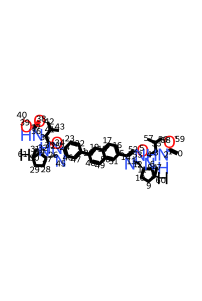 C=C(N[C@H](C(=O)N1C[C@@H]2CC[C@@]1(c1nc(-c3ccc4cc(-c5ccc6[nH]c([C@@]78CC[C@@H](CN7C(=O)[C@@H](NC(=O)OC)C(C)C)C8)nc6c5)ccc4c3)c[nH]1)C2)C(C)C)OC